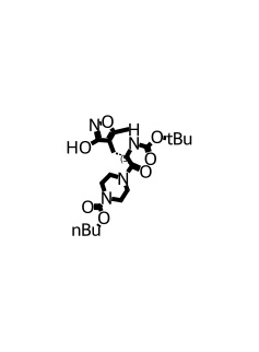 CCCCOC(=O)N1CCN(C(=O)[C@H](Cc2c(O)noc2C)NC(=O)OC(C)(C)C)CC1